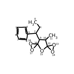 CCC(c1ccccc1)C1C(C)C2(OO2)OC12OO2